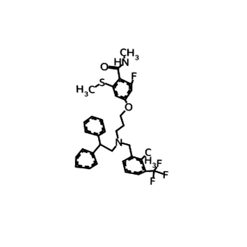 CNC(=O)c1c(F)cc(OCCCN(Cc2cccc(C(F)(F)F)c2C)CC(c2ccccc2)c2ccccc2)cc1SC